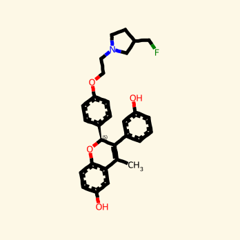 CC1=C(c2cccc(O)c2)[C@H](c2ccc(OCCN3CCC(CF)C3)cc2)Oc2ccc(O)cc21